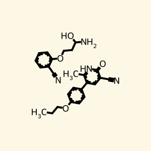 CCCOc1ccc(-c2cc(C#N)c(=O)[nH]c2C)cc1.N#Cc1ccccc1OCCC(N)O